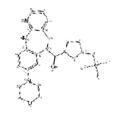 OC(C1CCN(CC(F)(F)F)C1)N1Cc2cccnc2Nc2ccc(N3CCOCC3)cc21